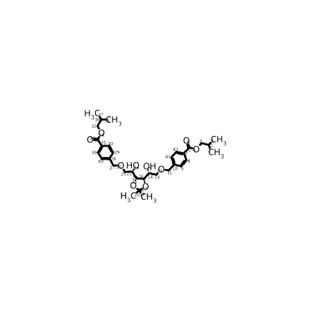 CC(C)COC(=O)c1ccc(COC[C@@H](O)[C@H]2OC(C)(C)O[C@@H]2[C@H](O)COCc2ccc(C(=O)OCC(C)C)cc2)cc1